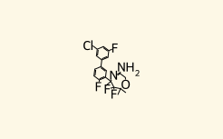 CC1(C)OCC(N)=NC(C)(c2cc(-c3cc(F)cc(Cl)c3)ccc2F)C1(F)F